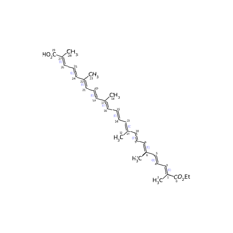 CCOC(=O)/C(C)=C/C=C/C(C)=C/C=C/C(C)=C/C=C/C=C(C)/C=C/C=C(C)/C=C/C=C(\C)C(=O)O